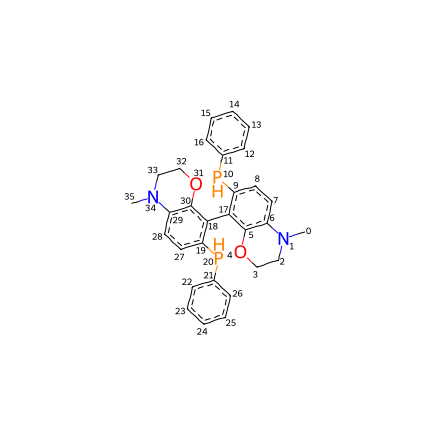 CN1CCOc2c1ccc(Pc1ccccc1)c2-c1c(Pc2ccccc2)ccc2c1OCCN2C